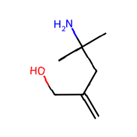 C=C(CO)CC(C)(C)N